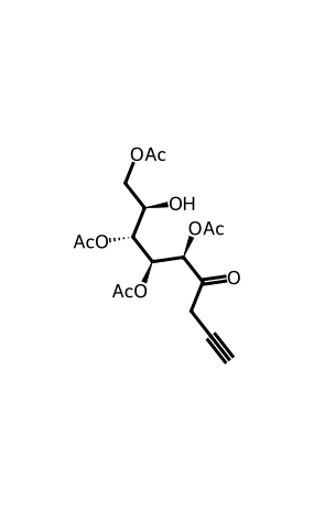 C#CCC(=O)[C@H](OC(C)=O)[C@@H](OC(C)=O)[C@H](OC(C)=O)[C@H](O)COC(C)=O